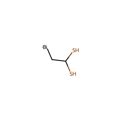 SC(S)[CH2][Bi]